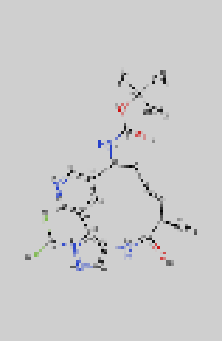 C[C@@H]1/C=C/C[C@H](NC(=O)OC(C)(C)C)c2cncc(c2)-c2c(cnn2C(F)F)NC1=O